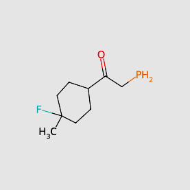 CC1(F)CCC(C(=O)CP)CC1